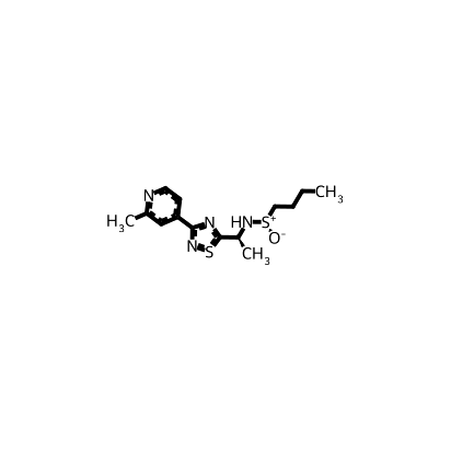 CCCC[S@@+]([O-])N[C@@H](C)c1nc(-c2ccnc(C)c2)ns1